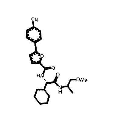 COCC(C)NC(=O)[C@@H](NC(=O)c1ccc(-c2ccc(C#N)cc2)o1)C1CCCCC1